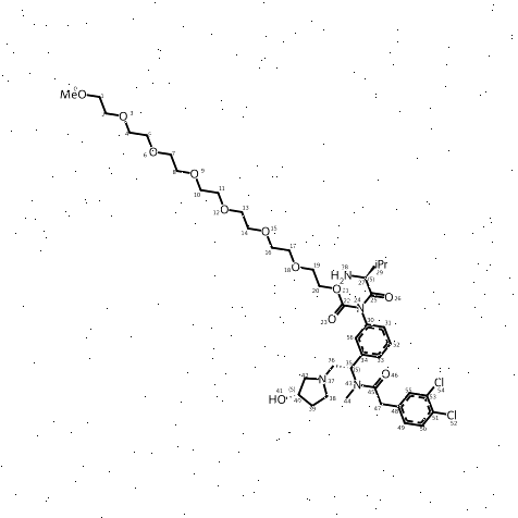 COCCOCCOCCOCCOCCOCCOCCOC(=O)N(C(=O)[C@@H](N)C(C)C)c1cccc([C@@H](CN2CC[C@H](O)C2)N(C)C(=O)Cc2ccc(Cl)c(Cl)c2)c1